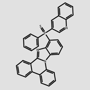 S=P(c1ccccc1)(c1cnc2ccccc2c1)c1cccc2c1nc1c3ccccc3c3ccccc3n21